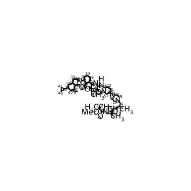 COC(C)(C)C(=O)NCC(C)(C)OCC(C)CN1CCN(c2ccc(Nc3nc(-c4cccc(-n5ccc6cc(C7CC7)cc(F)c6c5=O)c4CO)cn(C)c3=O)nc2)CC1